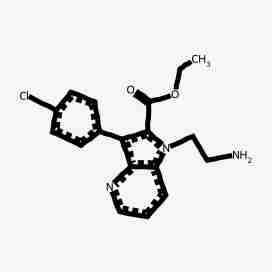 CCOC(=O)c1c(-c2ccc(Cl)cc2)c2ncccc2n1CCN